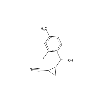 Cc1ccc(C(O)C2CC2C#N)c(F)c1